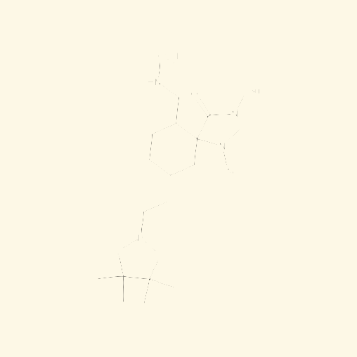 CC(=O)N(C)C1(C(=O)NC(C)(C)C)C[C@H](CCB2OC(C)(C)C(C)(C)O2)CCC1CNC(=O)O